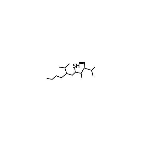 C=CC(C(C)C)C(C)C(S)CC(CCCC)C(C)C